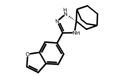 c1cc2ccc(C3=NN[C@]4(CC5CCC4CC5)N3)cc2o1